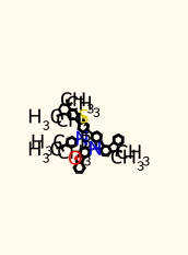 CC(C)(C)c1ccc(N2B3c4cc5oc6ccccc6c5cc4-n4c5ccc6c(c5c5ccc(c3c54)-c3cc4sc5cc7c(cc5c4cc32)C(C)(C)CCC7(C)C)-c2ccccc2C6(C)C)cc1